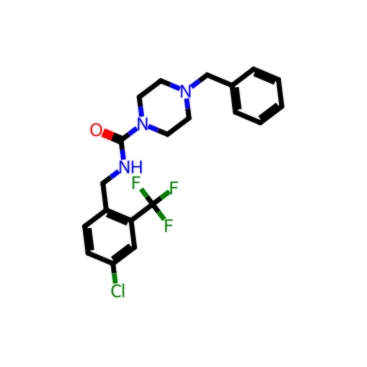 O=C(NCc1ccc(Cl)cc1C(F)(F)F)N1CCN(Cc2ccccc2)CC1